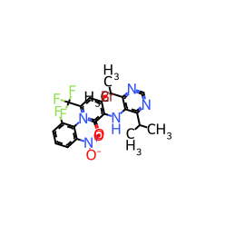 CC(C)c1ncnc(C(C)C)c1Nc1c(Br)cc(C(F)(F)F)n(-c2c(F)cccc2[N+](=O)[O-])c1=O